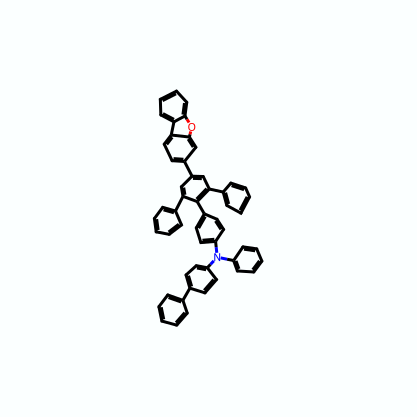 c1ccc(-c2ccc(N(c3ccccc3)c3ccc(-c4c(-c5ccccc5)cc(-c5ccc6c(c5)oc5ccccc56)cc4-c4ccccc4)cc3)cc2)cc1